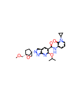 COC[C@@]12CC[C@@](n3cc4cc(C(=O)Nc5cccn(C6CC6)c5=O)c(OC(C)C)nc4n3)(CO1)C2